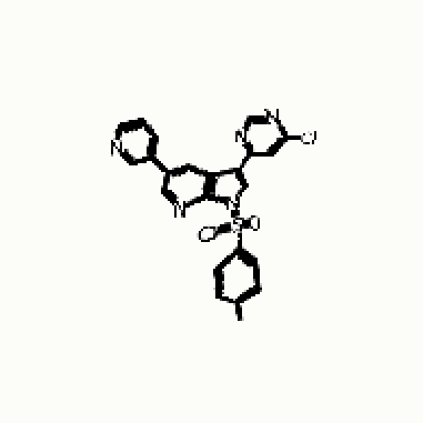 Cc1ccc(S(=O)(=O)n2cc(-c3cc(Cl)ncn3)c3cc(-c4cccnc4)cnc32)cc1